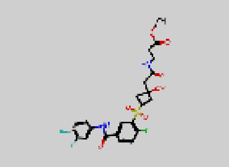 COC(=O)CCNC(=O)CC1(O)CC(S(=O)(=O)c2cc(C(=O)Nc3ccc(F)c(F)c3)ccc2Cl)C1